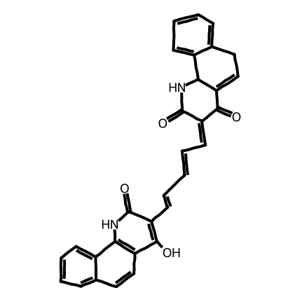 O=C1NC2C(=CCc3ccccc32)C(=O)C1=CC=CC=Cc1c(O)c2ccc3ccccc3c2[nH]c1=O